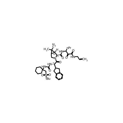 C=CCNC(=O)C(=O)C(CCC)NC(=O)[C@@H]1[C@@H]2C(CN1C(=O)[C@@H](NC(=O)NC1(CS(=O)(=O)C(C)(C)C)CCCCC1)C1Cc3ccccc3C1)C2(C)C